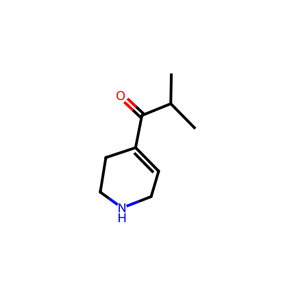 CC(C)C(=O)C1=CCNCC1